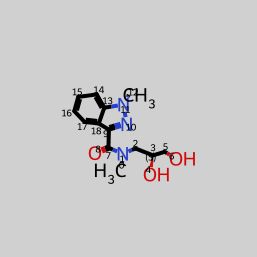 CN(C[C@H](O)CO)C(=O)c1nn(C)c2ccccc12